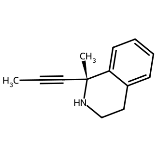 CC#C[C@@]1(C)NCCc2ccccc21